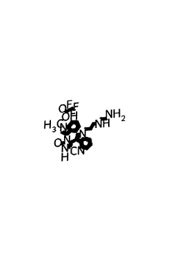 Cn1cc(-n2c(-c3cn(CCCNCCN)c4ccccc34)c(C#N)[nH]c2=O)c2ccccc21.O=C(O)C(F)(F)F